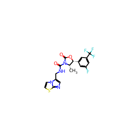 C[C@H]1[C@@H](c2cc(F)cc(C(F)(F)F)c2)OC(=O)N1C(=O)NCc1cnc2sccn12